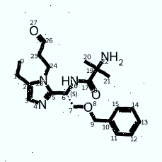 CCc1cnc([C@@H](COCc2ccccc2)NC(=O)C(C)(C)N)n1CCC=O